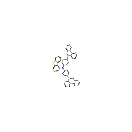 c1ccc2c(c1)cc(-c1ccc(N(c3ccc(-c4cc5ccccc5c5ccccc45)cc3)c3cccc4sc5ccccc5c34)cc1)c1ccccc12